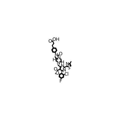 COC(=O)C1=C(CN2CCN3C(=O)N(c4ccc(CCC(=O)O)cc4)C[C@@H]3C2)NC(c2nc(C)cs2)=N[C@H]1c1ccc(F)cc1Cl